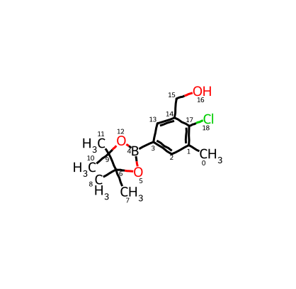 Cc1cc(B2OC(C)(C)C(C)(C)O2)cc(CO)c1Cl